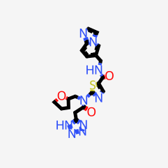 O=C(NCc1ccc2nccn2c1)c1cnc(N(CC2CCCO2)C(=O)Cc2nnn[nH]2)s1